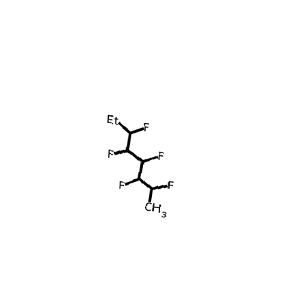 CCC(F)C(F)C(F)C(F)C(C)F